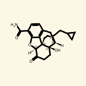 NC(=O)c1ccc2c3c1O[C@@H]1C(=O)CC[C@@]4(O)[C@@H](C2)N(CC2CC2)CC[C@]314